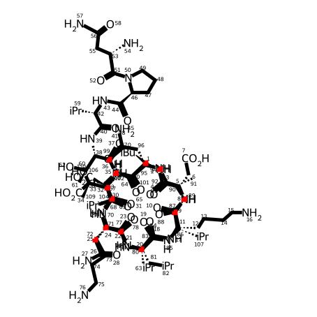 CC[C@H](C)[C@H](NC(=O)[C@H](CC(=O)O)NC(=O)[C@H](CCCCN)NC(=O)[C@@H](NC(=O)[C@H](CC(N)=O)NC(=O)[C@H](CC(=O)O)NC(=O)[C@@H](NC(=O)[C@@H](NC(=O)[C@@H]1CCCN1C(=O)[C@@H](N)CC(N)=O)C(C)C)[C@@H](C)O)C(C)C)C(=O)N[C@H](C(=O)N[C@@H](CCCCN)C(=O)N[C@@H](CC(C)C)C(=O)N[C@H](C(=O)N[C@@H](C)C(=O)N[C@@H](CC(N)=O)C(=O)N[C@@H](CC(C)C)C(=O)O)C(C)C)[C@@H](C)O